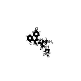 NS(=O)(=O)c1nn2c(-c3ccc(Cl)cc3)c(-c3ccccc3Cl)cnc2c1C(=O)N[C@H]1CCS(=O)(=O)C1